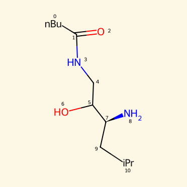 CCCCC(=O)NCC(O)[C@@H](N)CC(C)C